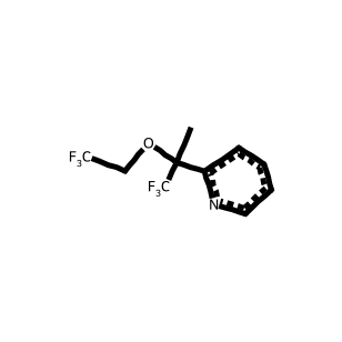 CC(OCC(F)(F)F)(c1ccccn1)C(F)(F)F